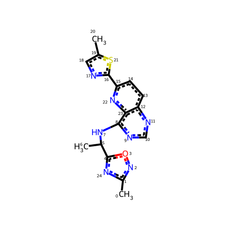 Cc1noc(C(C)Nc2ncnc3ccc(-c4ncc(C)s4)nc23)n1